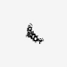 CCCN[C@H]1CCc2cc(NS(=O)(=O)c3ccc(C(C)C)cc3)ccc2C1